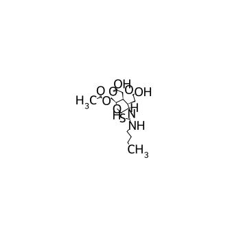 CCCCNC1=N[C@@H]2[C@H](CC(=O)O)[C@H](CC(=O)O)[C@H](COC(C)=O)O[C@@H]2S1